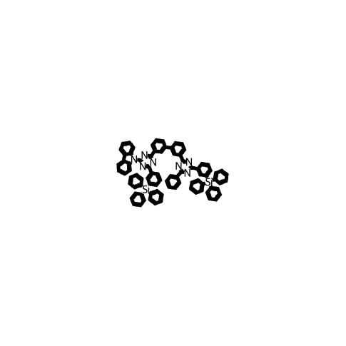 c1ccc(-c2nc(-c3cccc(-c4cccc(-c5nc(-c6cccc([Si](c7ccccc7)(c7ccccc7)c7ccccc7)c6)nc(-n6c7ccccc7c7ccccc76)n5)c4)c3)nc(-c3cccc([Si](c4ccccc4)(c4ccccc4)c4ccccc4)c3)n2)cc1